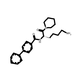 NCCCC[C@H](NC(=O)c1ccc(-c2ccccc2)cc1)C(=O)N1CCCCC1